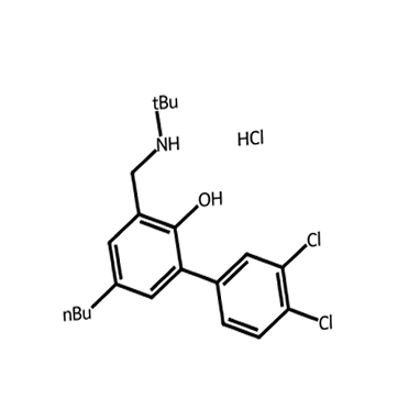 CCCCc1cc(CNC(C)(C)C)c(O)c(-c2ccc(Cl)c(Cl)c2)c1.Cl